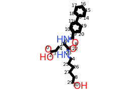 O=C(O)CC[C@H](NC(=O)c1ccc(-c2ccccc2)cc1)C(=O)NCCCCCCO